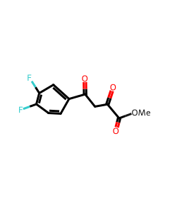 COC(=O)C(=O)CC(=O)c1ccc(F)c(F)c1